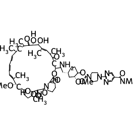 CNC(=O)c1cnc(N2CCN(C(=O)O[C@@H]3CC[C@@H](C[C@@H](N)[C@@H]4CC(=O)[C@H](C)/C=C(\C)[C@@H](O)[C@@H](O)C(=O)[C@H](C)C[C@H](C)/C=C/C=C/C=C(\C)[C@@H](OC)C[C@@H]5CC[C@@H](C)[C@@](O)(O5)C(=O)C(=O)N5CCCC[C@H]5C(=O)O4)C[C@H]3OC)CC2)nc1